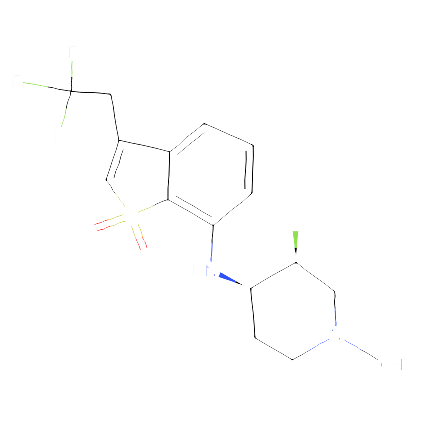 CN1CC[C@@H](Nc2cccc3c2S(=O)(=O)C=C3CC(F)(F)F)[C@@H](F)C1